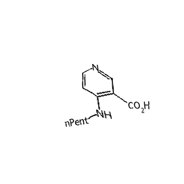 CCCCCNc1ccncc1C(=O)O